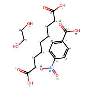 O=C(O)CCCCCCCC(=O)O.O=C(O)c1ccc([N+](=O)[O-])cc1.OCCO